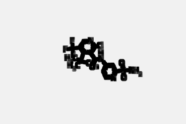 CC(C)(C)c1c(C(F)(F)F)cnc(Cl)c1C(=O)Nc1ccnc(S(N)(=O)=O)c1